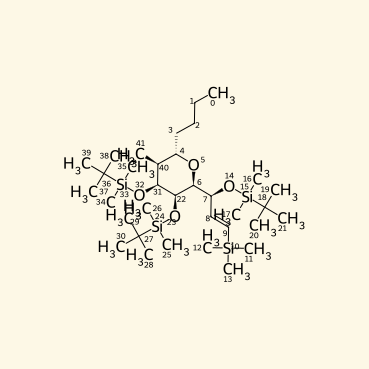 CCCC[C@@H]1O[C@@H]([C@H](/C=C/[Si](C)(C)C)O[Si](C)(C)C(C)(C)C)[C@@H](O[Si](C)(C)C(C)(C)C)[C@@H](O[Si](C)(C)C(C)(C)C)[C@H]1C